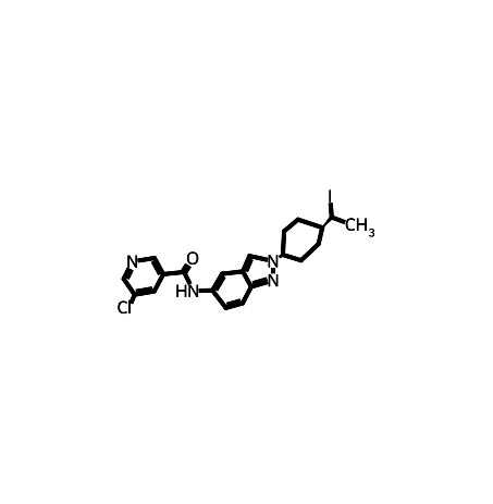 CC(I)[C@H]1CC[C@H](n2cc3cc(NC(=O)c4cncc(Cl)c4)ccc3n2)CC1